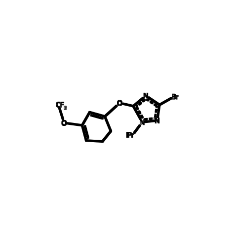 CC(C)n1nc(Br)nc1OC1=CC(OC(F)(F)F)=CCC1